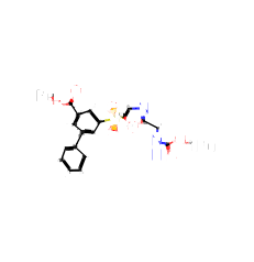 CC(C)(C)OC(=O)NCc1ncc(S(=O)(=O)c2cc(C(=O)OC(C)(C)C)cc(-c3ccccc3)c2)o1